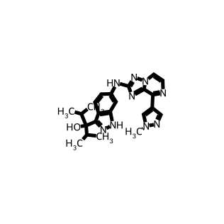 CC(C)C(O)(c1n[nH]c2cc(Nc3nc4c(-c5cnn(C)c5)nccn4n3)ccc12)C(C)C